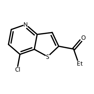 CCC(=O)c1cc2nccc(Cl)c2s1